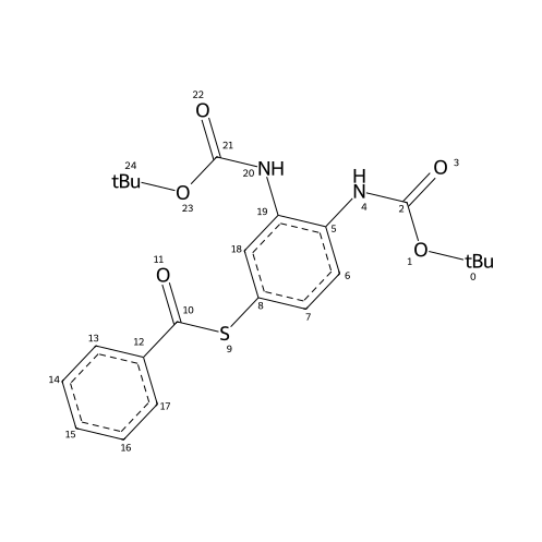 CC(C)(C)OC(=O)Nc1ccc(SC(=O)c2ccccc2)cc1NC(=O)OC(C)(C)C